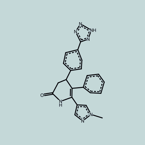 Cn1cc(C2=C(c3ccccc3)C(c3ccc(-c4nn[nH]n4)cc3)CC(=O)N2)cn1